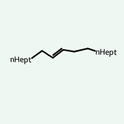 CCCCCCCCC=CCCCCCCCCC